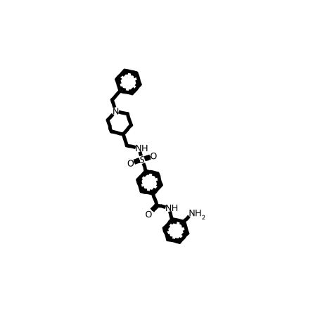 Nc1ccccc1NC(=O)c1ccc(S(=O)(=O)NCC2CCN(Cc3ccccc3)CC2)cc1